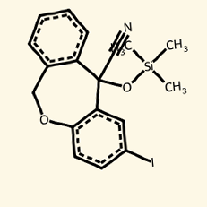 C[Si](C)(C)OC1(C#N)c2ccccc2COc2ccc(I)cc21